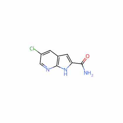 NC(=O)c1cc2cc(Cl)cnc2[nH]1